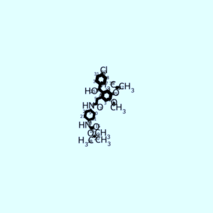 COc1cc(CC(=O)N[C@H]2CC[C@H](NC(=O)OC(C)(C)C)CC2)c([C@H](O)c2ccc(Cl)cc2)cc1OC(C)C